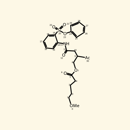 COCCCCC(=O)OCC(CC(=O)Nc1ccccc1S(=O)(=O)Oc1ccccc1)C(C)=O